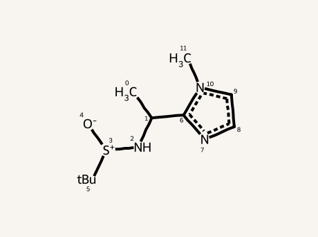 CC(N[S+]([O-])C(C)(C)C)c1nccn1C